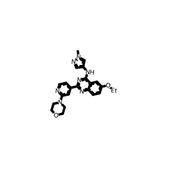 CCOc1ccc2nc(-c3ccnc(N4CCOCC4)c3)nc(Nc3cnn(C)c3)c2c1